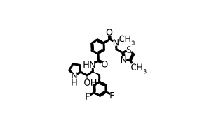 Cc1csc(CN(C)C(=O)c2cccc(C(=O)N[C@@H](Cc3cc(F)cc(F)c3)[C@H](O)C3CCCN3)c2)n1